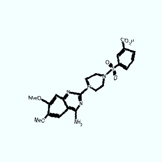 COc1cc2nc(N3CCN(S(=O)(=O)c4cccc(C(=O)O)c4)CC3)nc(N)c2cc1OC